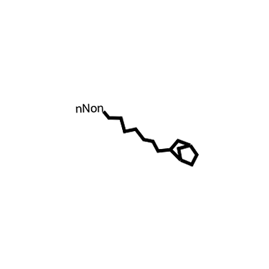 [CH2]CCCCCCCCCCCCCCCC1CC2CCC1C2